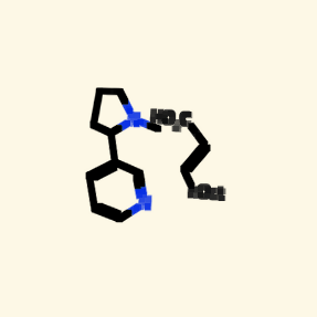 CCCCCCCCC=CC(=O)O.CN1CCCC1c1cccnc1